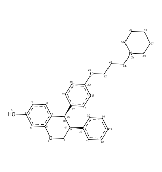 Oc1ccc2c(c1)OC[C@H](c1ccccc1)[C@@H]2c1ccc(OCCCN2CCCCC2)cc1